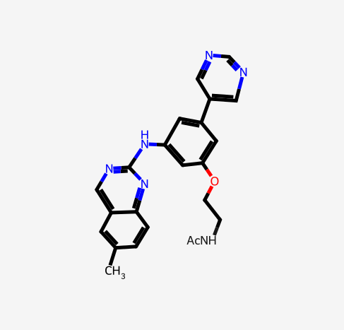 CC(=O)NCCOc1cc(Nc2ncc3cc(C)ccc3n2)cc(-c2cncnc2)c1